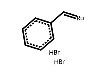 Br.Br.[Ru]=[CH]c1ccccc1